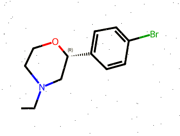 CCN1CCO[C@H](c2ccc(Br)cc2)C1